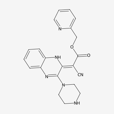 N#CC(C(=O)OCc1ccccn1)=C1Nc2ccccc2N=C1N1CCNCC1